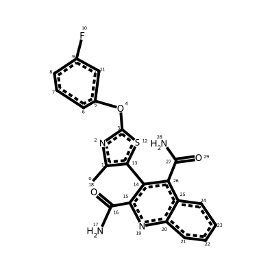 Cc1nc(Oc2cccc(F)c2)sc1-c1c(C(N)=O)nc2ccccc2c1C(N)=O